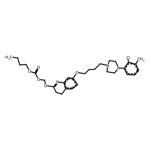 CCCCOC(=O)OCOC1=Nc2cc(OCCCCN3CCN(c4cccc(C)c4Cl)CC3)ccc2CC1